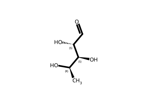 C[C@@H](O)[C@H](O)[C@H](O)C=O